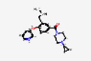 C[AsH]Cc1cc(C(=O)N2CCN(C3CC3)CC2)ccc1Oc1cccnc1